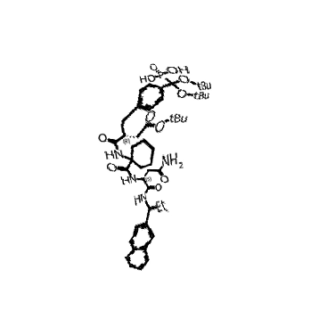 CCC(NC(=O)[C@H](CC(N)=O)NC(=O)C1(NC(=O)[C@@H](CC(=O)OC(C)(C)C)Cc2ccc(C(OC(C)(C)C)(OC(C)(C)C)P(=O)(O)O)cc2)CCCCC1)c1ccc2ccccc2c1